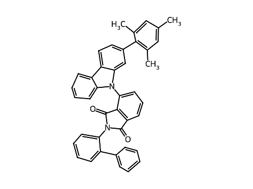 Cc1cc(C)c(-c2ccc3c4ccccc4n(-c4cccc5c4C(=O)N(c4ccccc4-c4ccccc4)C5=O)c3c2)c(C)c1